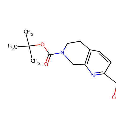 CC(C)(C)OC(=O)N1CCc2ccc(CO)nc2C1